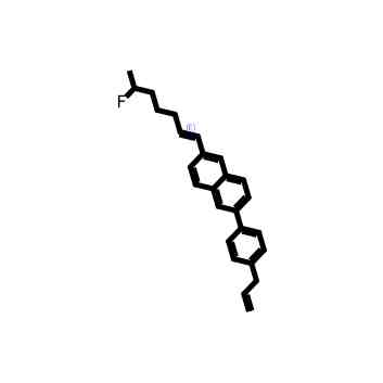 C=CCc1ccc(-c2ccc3cc(/C=C/CCCC(C)F)ccc3c2)cc1